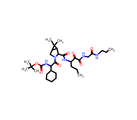 CCCNC(=O)CNC(=O)C(=O)C(CCC)NC(=O)C1C2C(CN1C(=O)C(NC(=O)OC(C)(C)C)C1CCCCC1)C2(C)C